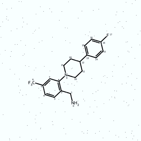 NCc1ccc(C(F)(F)F)cc1N1CCC(c2ccc(F)cc2)CC1